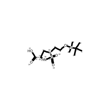 CC(C)(C)[Si](C)(C)OCCN1C[C@@H](C(=O)O)NS1(=O)=O